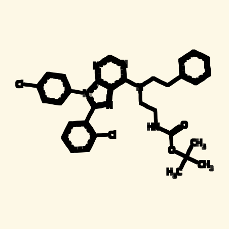 CC(C)(C)OC(=O)NCCN(CCc1ccccc1)c1ncnc2c1nc(-c1ccccc1Cl)n2-c1ccc(Cl)cc1